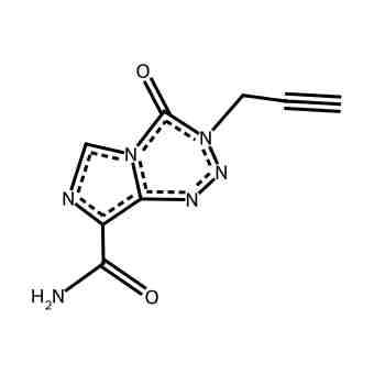 C#CCn1nnc2c(C(N)=O)ncn2c1=O